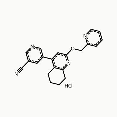 Cl.N#Cc1cncc(-c2cc(OCc3ccccn3)nc3c2CCCC3)c1